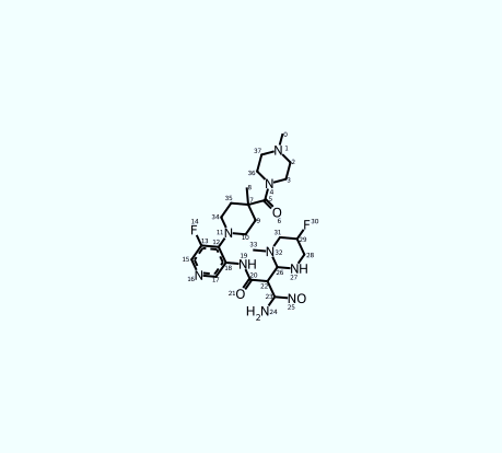 CN1CCN(C(=O)C2(C)CCN(c3c(F)cncc3NC(=O)C(C(N)N=O)C3NCC(F)CN3C)CC2)CC1